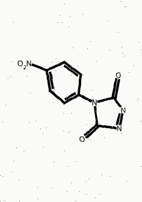 O=C1N=NC(=O)N1c1ccc([N+](=O)[O-])cc1